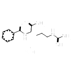 Cl.N=C(N)NCCC[C@H](NC(=O)c1ccccc1)C(N)=O.O